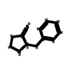 S=C1CCON1Cc1ccccc1